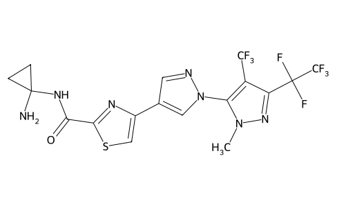 Cn1nc(C(F)(F)C(F)(F)F)c(C(F)(F)F)c1-n1cc(-c2csc(C(=O)NC3(N)CC3)n2)cn1